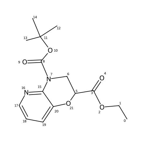 CCOC(=O)C1CN(C(=O)OC(C)(C)C)c2ncccc2O1